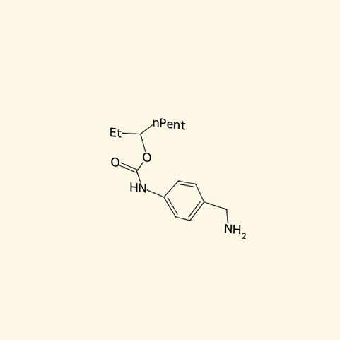 CCCCCC(CC)OC(=O)Nc1ccc(CN)cc1